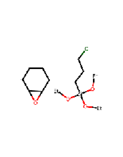 CCO[Si](CCCCl)(OCC)OCC.[CH]1CCCC2OC12